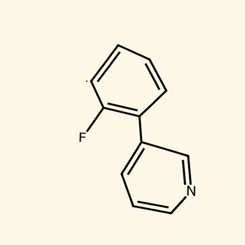 Fc1[c]cccc1-c1cccnc1